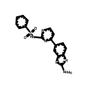 CC(=O)Nc1nc2ccc(-c3ccnc(NS(=O)(=O)c4ccccc4)n3)cc2s1